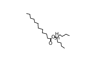 CCCCCCCCCCCC(=O)[O][SnH]([CH2]CCC)[CH2]CCC